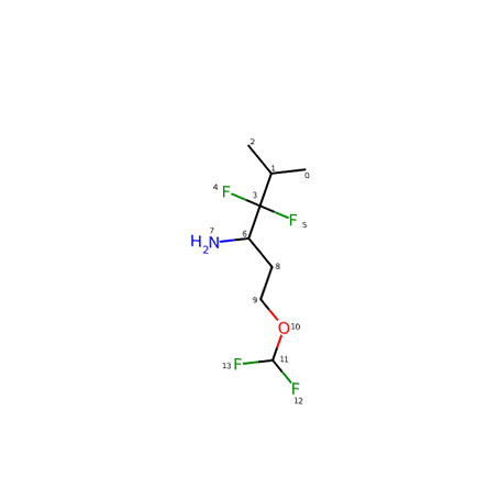 CC(C)C(F)(F)C(N)CCOC(F)F